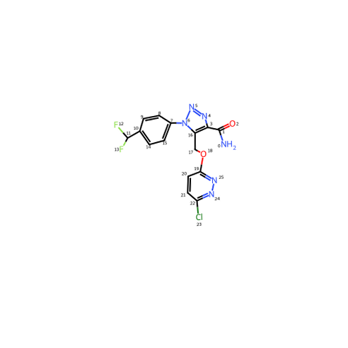 NC(=O)c1nnn(-c2ccc(C(F)F)cc2)c1COc1ccc(Cl)nn1